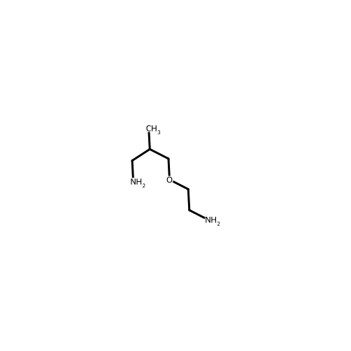 CC(CN)COCCN